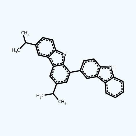 CC(C)c1ccc2sc3c(-c4ccc5[nH]c6ccccc6c5c4)cc(C(C)C)cc3c2c1